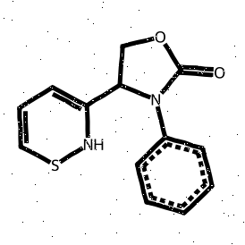 O=C1OCC(C2=CC=CSN2)N1c1ccccc1